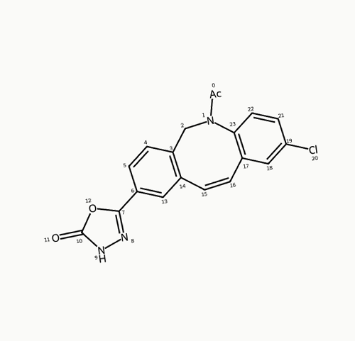 CC(=O)N1Cc2ccc(-c3n[nH]c(=O)o3)cc2/C=C\c2cc(Cl)ccc21